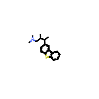 CC(CN(C)C)C(C)c1ccc2sc3ccccc3c2c1